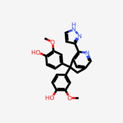 COc1cc(C2(c3ccc(O)c(OC)c3)Cc3cnc(-c4cc[nH]n4)c2c3)ccc1O